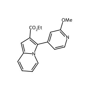 CCOC(=O)c1cc2ccccn2c1-c1ccnc(OC)c1